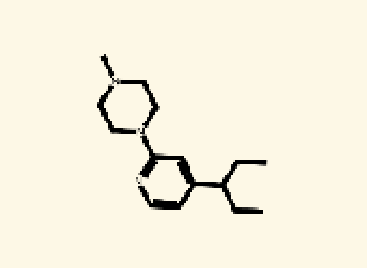 CCC(CC)c1ccnc(N2CCN(C)CC2)c1